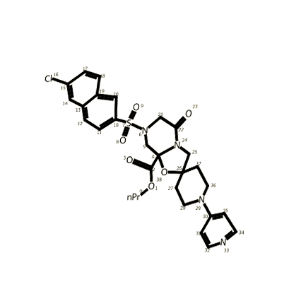 CCCOC(=O)C12CN(S(=O)(=O)c3ccc4cc(Cl)ccc4c3)CC(=O)N1CC1(CCN(c3ccncc3)CC1)O2